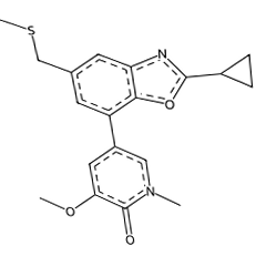 COc1cc(-c2cc(CSC)cc3nc(C4CC4)oc23)cn(C)c1=O